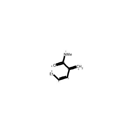 C=C(/C=C\CC)C(=O)NC